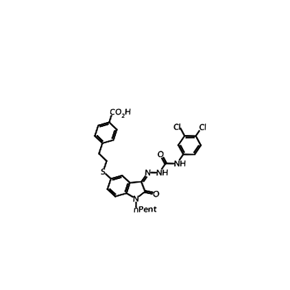 CCCCCN1C(=O)C(=NNC(=O)Nc2ccc(Cl)c(Cl)c2)c2cc(SCCc3ccc(C(=O)O)cc3)ccc21